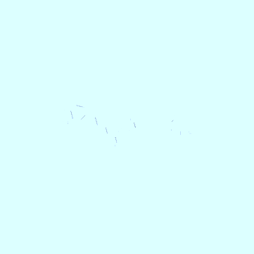 CCCCOC(=O)CCCCC(=O)OOC(=O)C=CC=Cc1ccc2c(c1)OCO2